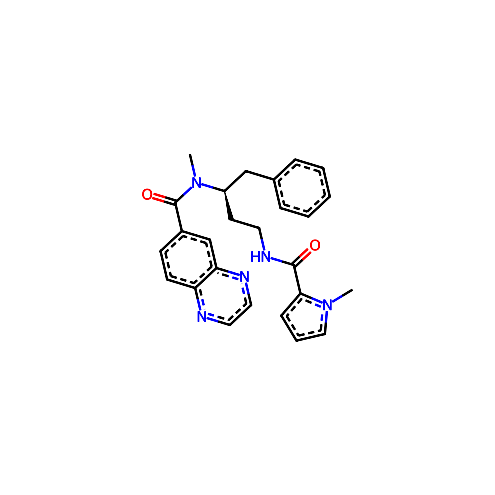 CN(C(=O)c1ccc2nccnc2c1)[C@H](CCNC(=O)c1cccn1C)Cc1ccccc1